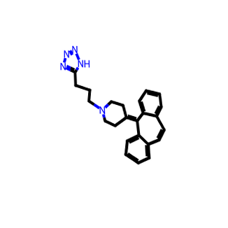 C1=Cc2ccccc2C(=C2CCN(CCCc3nnn[nH]3)CC2)c2ccccc21